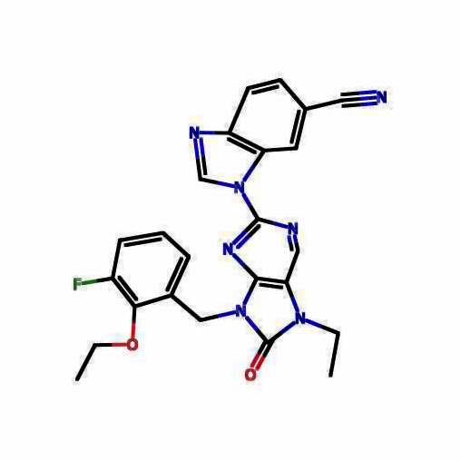 CCOc1c(F)cccc1Cn1c(=O)n(CC)c2cnc(-n3cnc4ccc(C#N)cc43)nc21